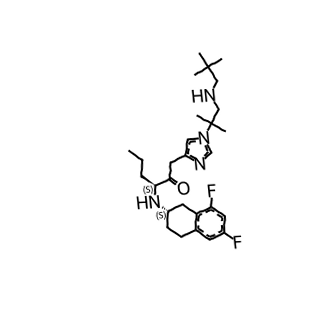 CCC[C@H](N[C@H]1CCc2cc(F)cc(F)c2C1)C(=O)Cc1cn(C(C)(C)CNCC(C)(C)C)cn1